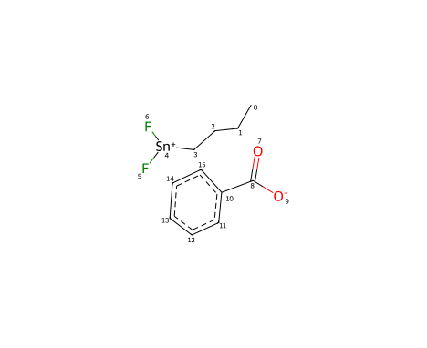 CCC[CH2][Sn+]([F])[F].O=C([O-])c1ccccc1